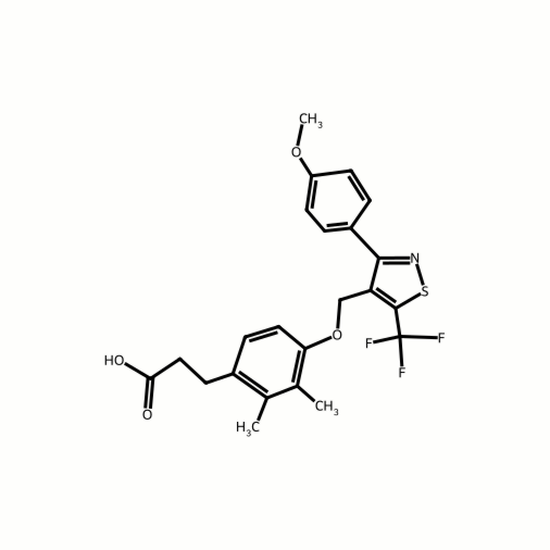 COc1ccc(-c2nsc(C(F)(F)F)c2COc2ccc(CCC(=O)O)c(C)c2C)cc1